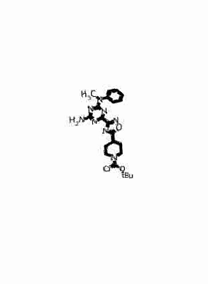 CN(c1ccccc1)c1nc(N)nc(-c2noc(C3CCN(C(=O)OC(C)(C)C)CC3)n2)n1